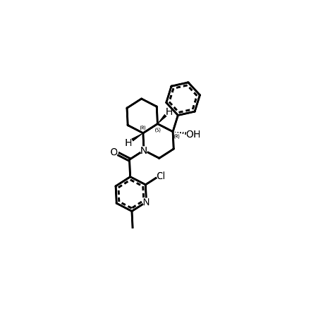 Cc1ccc(C(=O)N2CC[C@](O)(c3ccccc3)[C@H]3CCCC[C@H]32)c(Cl)n1